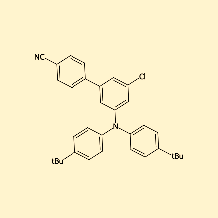 CC(C)(C)c1ccc(N(c2ccc(C(C)(C)C)cc2)c2cc(Cl)cc(-c3ccc(C#N)cc3)c2)cc1